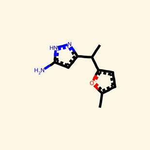 Cc1ccc(C(C)c2cc(N)[nH]n2)o1